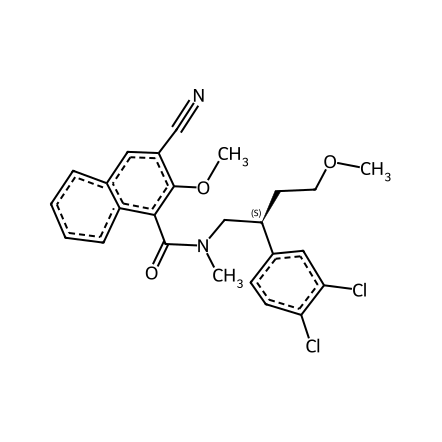 COCC[C@H](CN(C)C(=O)c1c(OC)c(C#N)cc2ccccc12)c1ccc(Cl)c(Cl)c1